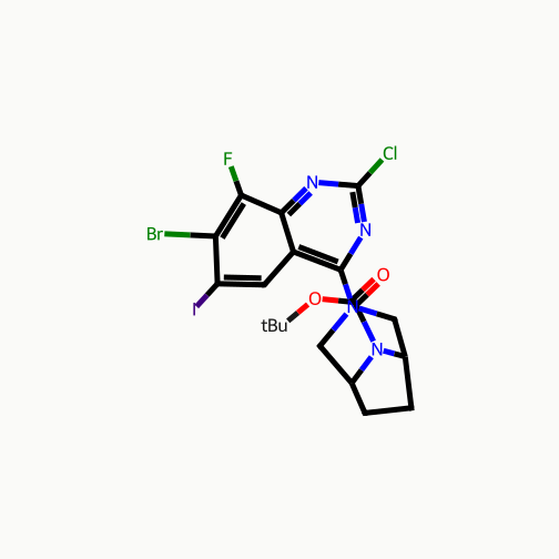 CC(C)(C)OC(=O)N1C2CCC1CN(c1nc(Cl)nc3c(F)c(Br)c(I)cc13)C2